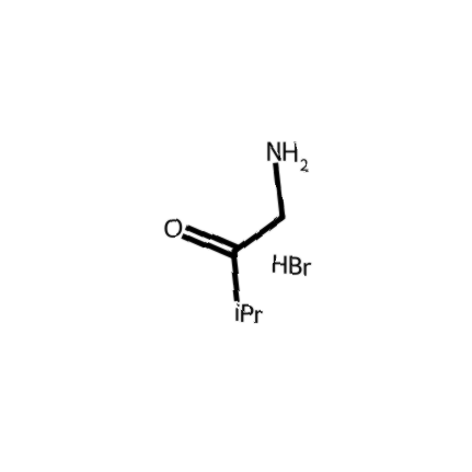 Br.CC(C)C(=O)CN